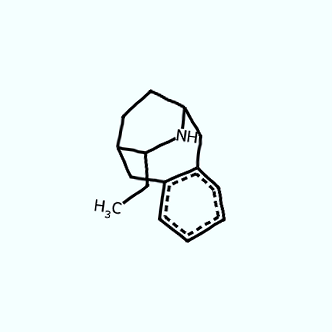 CCC1NC2CCC1Cc1ccccc1C2